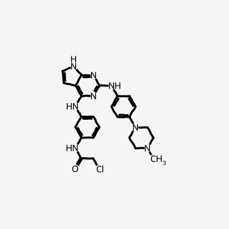 CN1CCN(c2ccc(Nc3nc(Nc4cccc(NC(=O)CCl)c4)c4cc[nH]c4n3)cc2)CC1